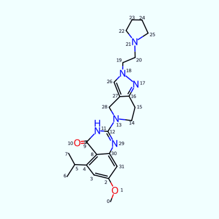 COc1cc(C(C)C)c2c(=O)[nH]c(N3CCc4nn(CCN5CCCC5)cc4C3)nc2c1